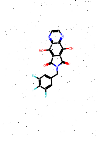 O=C1c2c(c(O)c3nccnc3c2O)C(=O)N1Cc1cc(F)c(F)c(F)c1